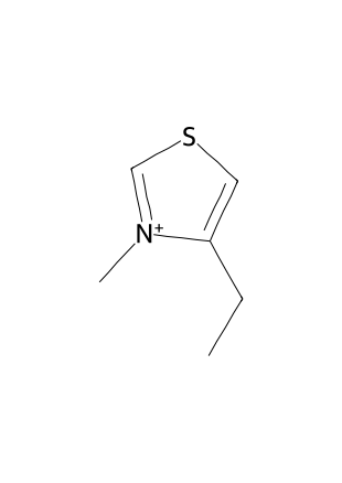 CCc1csc[n+]1C